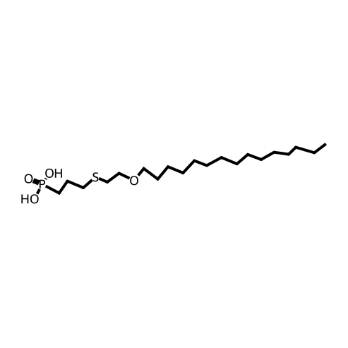 CCCCCCCCCCCCCCCOCCSCCCP(=O)(O)O